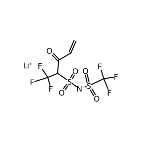 C=CC(=O)C(C(F)(F)F)S(=O)(=O)[N-]S(=O)(=O)C(F)(F)F.[Li+]